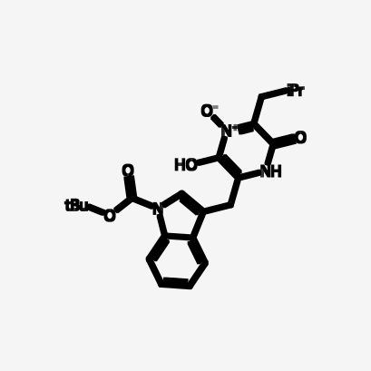 CC(C)Cc1c(=O)[nH]c(Cc2cn(C(=O)OC(C)(C)C)c3ccccc23)c(O)[n+]1[O-]